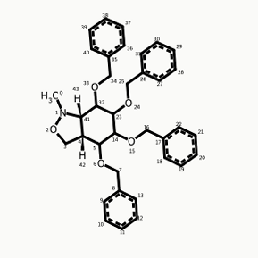 CN1OC[C@H]2C(OCc3ccccc3)C(OCc3ccccc3)C(OCc3ccccc3)C(OCc3ccccc3)[C@H]21